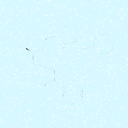 CC(C)(C)[C@H](NC(=O)CC1CCCCC1)C(=O)N1C[C@@]2(CC(c3cccc(Cl)c3)=NO2)C[C@H]1C(=O)O